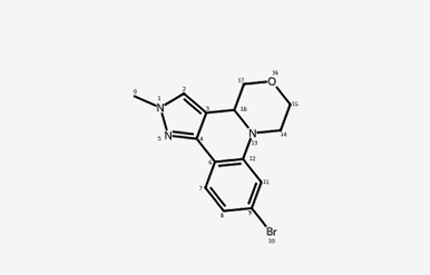 Cn1cc2c(n1)-c1ccc(Br)cc1N1CCOCC21